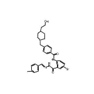 Cc1ccc(/C=N/NC(=O)c2cc(Br)ccc2NC(=O)c2ccc(CN3CCC(CCO)CC3)cc2)cc1